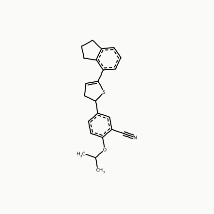 CC(C)Oc1ccc(C2CC=C(c3cccc4c3CCC4)S2)cc1C#N